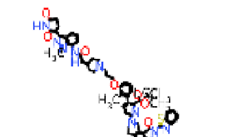 Cc1c(OCCCN2CCC(CC(=O)Nc3cccc4c(C5CCC(=O)NC5=O)nn(C)c34)CC2)cccc1-c1ccc(N2CCc3cccc(C(=O)Nc4nc5ccccc5s4)c3C2)nc1C(=O)OC(C)(C)C